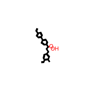 C=Cc1ccc(-c2ccc(C(CCc3ccc(C=C)c(C)c3)OO)cc2)cc1